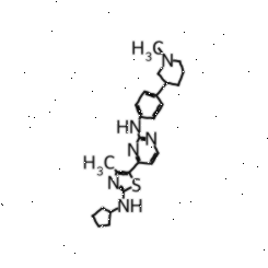 Cc1nc(NC2CCCC2)sc1-c1ccnc(Nc2ccc(C3CCCN(C)C3)cc2)n1